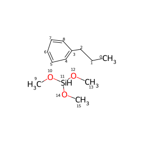 CCCc1ccccc1.CO[SiH](OC)OC